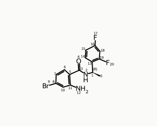 C[C@@H](NC(=O)c1ccc(Br)cc1N)c1ccc(F)cc1F